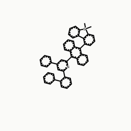 C[Si]1(C)c2ccccc2-c2c(-c3c4ccccc4c(-c4cc(-c5ccccc5)cc(-c5ccccc5-c5ccccc5)n4)c4ccccc34)cccc21